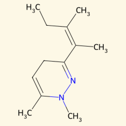 CC/C(C)=C(/C)C1=NN(C)C(C)=CC1